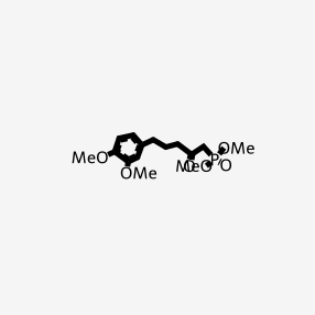 COc1ccc(CCCC(=O)CP(=O)(OC)OC)cc1OC